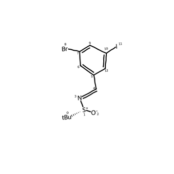 CC(C)(C)[S@@+]([O-])/N=C/c1cc(Br)cc(I)c1